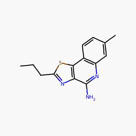 CCCc1nc2c(N)nc3cc(C)ccc3c2s1